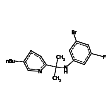 CCCCc1ccc(C(C)(C)Nc2cc(F)cc(Br)c2)nc1